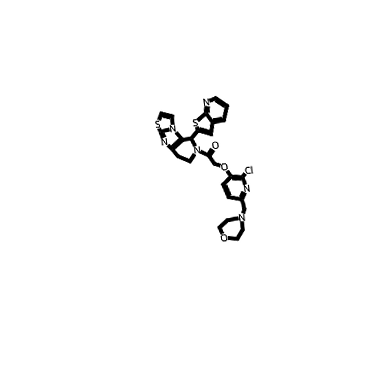 O=C(COc1ccc(CN2CCOCC2)nc1Cl)N1CCc2nc3sccn3c2C1c1cc2cccnc2s1